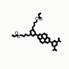 C=CC(=O)OCCCCc1cc(CCCCOC(=O)C=C)cc(-c2cc3ccc4cc(-c5cc(C(=C)C)cc(C(=C)C)c5)cc5ccc(c2)c3c45)c1